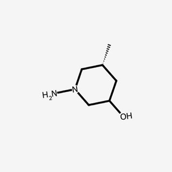 C[C@@H]1CC(O)CN(N)C1